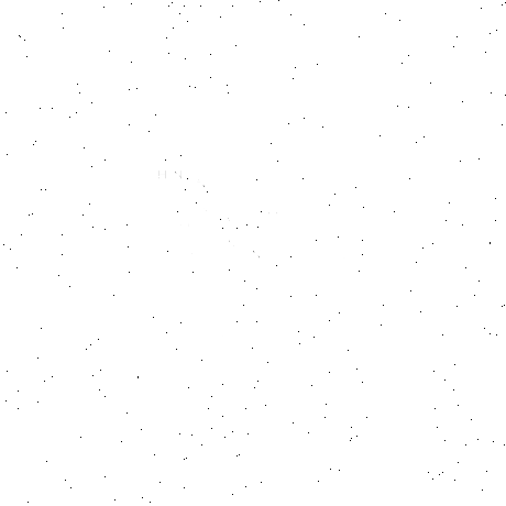 Cc1ccccc1C(=O)NN(C(=O)C(=O)NN)C(=O)c1ccccc1C